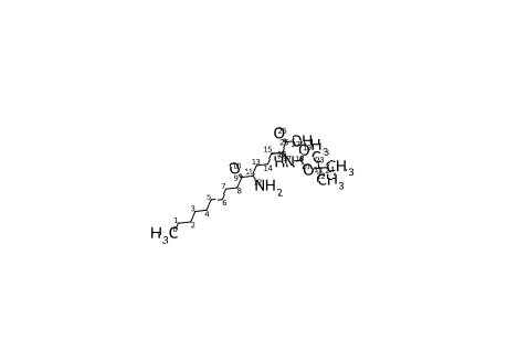 CCCCCCCCCC(=O)C(N)CCC[C@H](NC(=O)OC(C)(C)C)C(=O)O